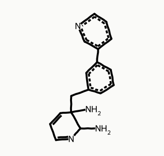 NC1N=CC=CC1(N)Cc1cccc(-c2cccnc2)c1